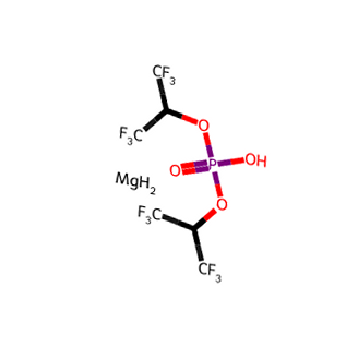 O=P(O)(OC(C(F)(F)F)C(F)(F)F)OC(C(F)(F)F)C(F)(F)F.[MgH2]